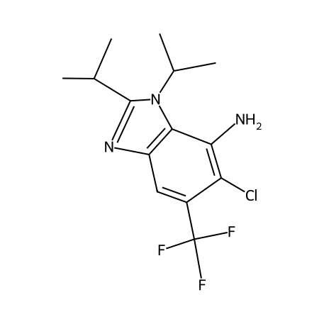 CC(C)c1nc2cc(C(F)(F)F)c(Cl)c(N)c2n1C(C)C